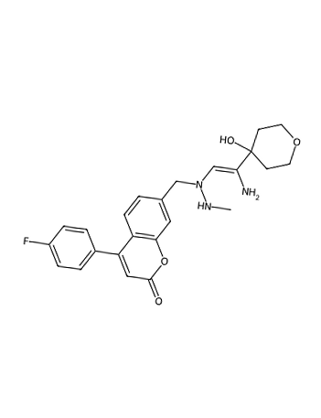 CNN(/C=C(\N)C1(O)CCOCC1)Cc1ccc2c(-c3ccc(F)cc3)cc(=O)oc2c1